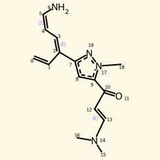 C=C/C(=C\C=C/N)c1cc(C(=O)/C=C/N(C)C)n(C)n1